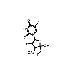 COC1(CI)OC(n2cc(F)c(=O)[nH]c2=O)C(F)C1OC(C)=O